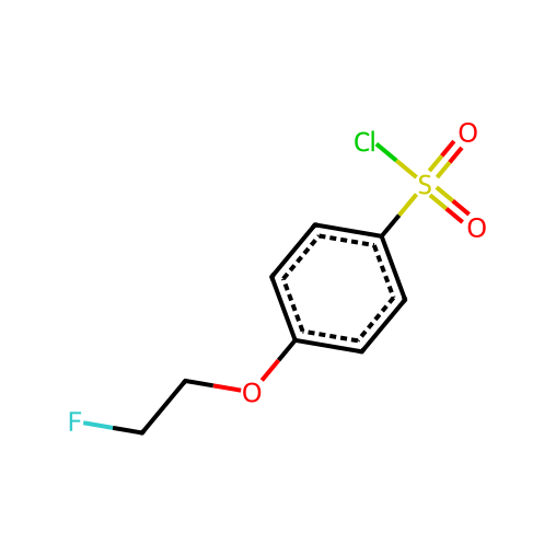 O=S(=O)(Cl)c1ccc(OCCF)cc1